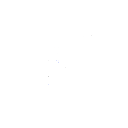 CCCNC1CCN(C(=O)OCc2ccccc2)CC1